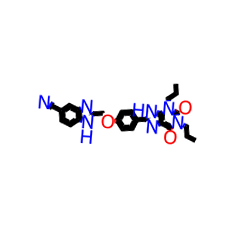 CCCn1c(=O)c2nc(-c3ccc(OCc4nc5cc(C#N)ccc5[nH]4)cc3)[nH]c2n(CCC)c1=O